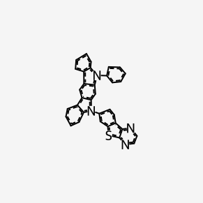 c1ccc(-n2c3ccccc3c3cc4c5ccccc5n(-c5ccc6c(c5)sc5nccnc56)c4cc32)cc1